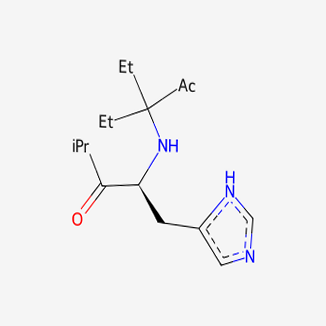 CCC(CC)(N[C@@H](Cc1cnc[nH]1)C(=O)C(C)C)C(C)=O